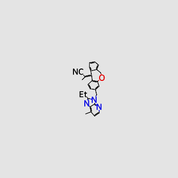 CCc1nc2c(C)ccnc2n1Cc1ccc2c(c1)OCc1ccccc1/C2=C(/C)C#N